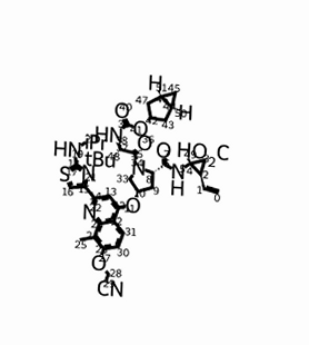 C=C[C@@H]1C[C@]1(NC(=O)[C@@H]1C[C@@H](Oc2cc(-c3csc(NC(C)C)n3)nc3c(C)c(OCC#N)ccc23)CN1C(=O)[C@@H](NC(=O)O[C@@H]1C[C@@H]2C[C@@H]2C1)C(C)(C)C)C(=O)O